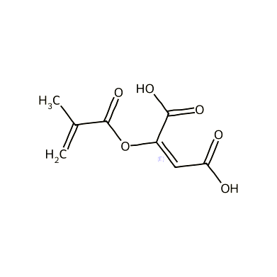 C=C(C)C(=O)O/C(=C/C(=O)O)C(=O)O